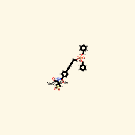 COC(=O)C(NC(=O)c1ccc(C#CC#CCCOP(=O)(OCc2ccccc2)OCc2ccccc2)cc1)C1(OC)CS(=O)(=O)C1